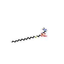 CCCCCCCCCCCCCCCCSCCCOP(=O)(O)OCC[N+](C)(C)C